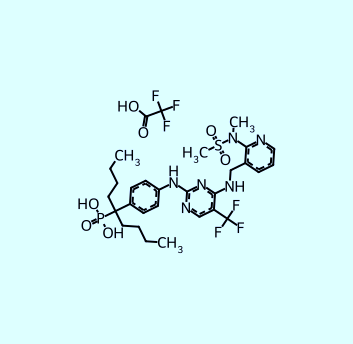 CCCCC(CCCC)(c1ccc(Nc2ncc(C(F)(F)F)c(NCc3cccnc3N(C)S(C)(=O)=O)n2)cc1)P(=O)(O)O.O=C(O)C(F)(F)F